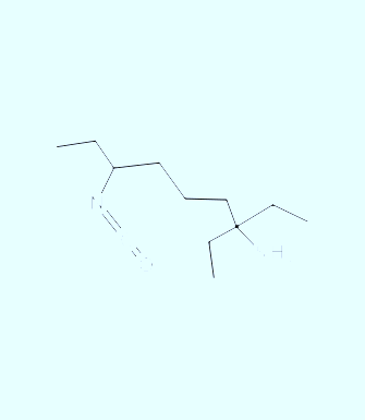 CCC(CCCC([SiH3])(CC)CC)N=C=O